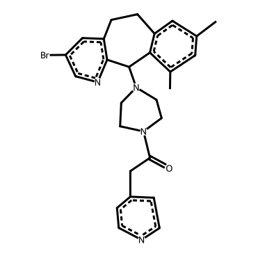 Cc1cc(C)c2c(c1)CCc1cc(Br)cnc1C2N1CCN(C(=O)Cc2ccncc2)CC1